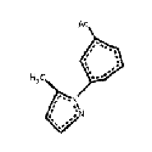 CC(=O)c1cccc(-n2nccc2C)c1